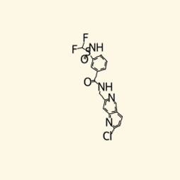 N=S(=O)(c1cccc(C(=O)NCc2cc3nc(Cl)ccc3cn2)c1)C(F)F